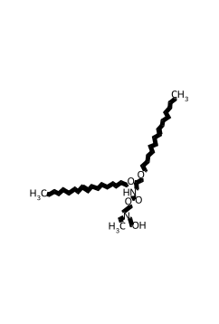 CCCCCCCCC=CCCCCCCCCOCC(CNC(=O)OCCN(CC)CCO)OCCCCCCCCC=CCCCCCCCC